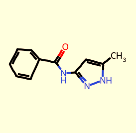 Cc1cc(NC(=O)c2ccccc2)n[nH]1